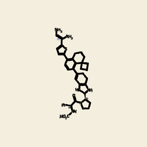 CC(C)[C@H](NC(=O)O)C(=O)N1CCC[C@H]1C1NC2=C(CCC(c3ccc(-c4ccc(/C(N)=C/N)s4)c4c3C3(CCC4)CCC3)=C2)N1